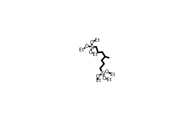 [CH2]C(CCC[Si](OCC)(OCC)OCC)CCC[Si](OCC)(OCC)OCC